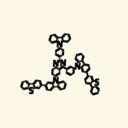 c1cc(-c2nc(-c3ccc(-n4c5ccccc5c5ccccc54)cc3)nc3ccc(-n4c5ccccc5c5ccc(-c6ccc7c(c6)sc6ccccc67)cc54)cc23)cc(-n2c3ccccc3c3ccc(-c4ccc5c(c4)sc4ccccc45)cc32)c1